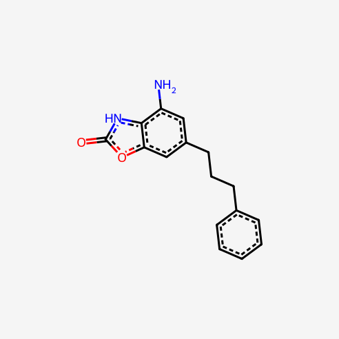 Nc1cc(CCCc2ccccc2)cc2oc(=O)[nH]c12